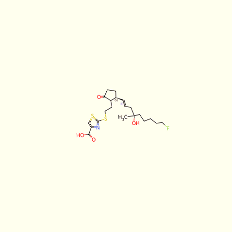 CC(O)(C/C=C/[C@@H]1CCC(=O)C1CCSc1nc(C(=O)O)cs1)CCCCCF